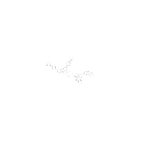 O=c1c2ccc(-c3ccc4c5cc(-c6ccc7sc8ccccc8c7c6)cc6c7ccccc7c(=O)n(c4c3)c65)cc2c2cc(-c3ccc(-c4ccccc4)cc3)cc3c4cc(-c5ccc(-c6ccccc6)cc5)ccc4n1c23